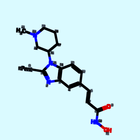 CCCCCc1nc2cc(C=CC(=O)NO)ccc2n1C1CCCN(C)C1